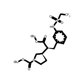 CC(C)(C)OC(=O)[C@@H](Cc1cccc(NS(=O)(=O)CC(F)(F)F)c1)[C@H]1CCN(C(=O)OC(C)(C)C)C1